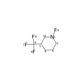 FN1CCCC(C(F)(F)F)C1